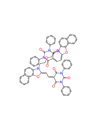 O=C1C(=CC=C2Oc3c(ccc4ccccc34)N2CCOCCN2C(=CC=C3C(=O)N(c4ccccc4)C(=O)N(c4ccccc4)C3=O)Oc3c2ccc2ccccc32)C(=O)N(c2ccccc2)C(=O)N1c1ccccc1